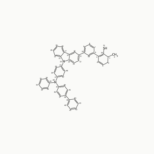 CC1CC=CC(c2cccc(-c3ccc4c(c3)c3ccccc3n4-c3ccc(N(c4ccccc4)c4ccc(-c5ccccc5)cc4)cc3)c2)=C1S